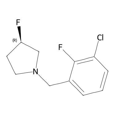 Fc1c(Cl)cccc1CN1CC[C@@H](F)C1